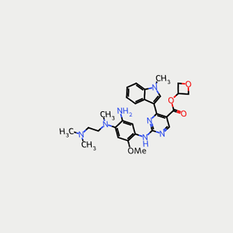 COc1cc(N(C)CCN(C)C)c(N)cc1Nc1ncc(C(=O)OC2COC2)c(-c2cn(C)c3ccccc23)n1